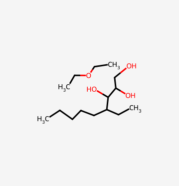 CCCCCC(CC)C(O)C(O)CO.CCOCC